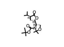 CC(C)[C@@H]1C[C@@H]([C@@H]2COC(C)(C)N2C(=O)OC(C)(C)C)OC1=O